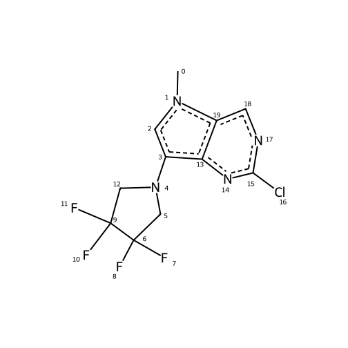 Cn1cc(N2CC(F)(F)C(F)(F)C2)c2nc(Cl)ncc21